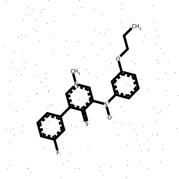 CCCOc1cccc([S+]([O-])c2cn(C)cc(-c3cccc(F)c3)c2=S)c1